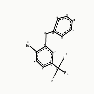 FC(F)(F)c1ccc(Br)c(Cc2ccccc2)c1